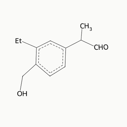 CCc1cc(C(C)C=O)ccc1CO